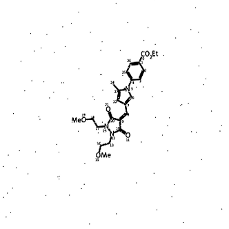 CCOC(=O)c1ccc(-n2cc(C=C3C(=O)N(CCOC)N(CCOC)C3=O)cc2C)cc1